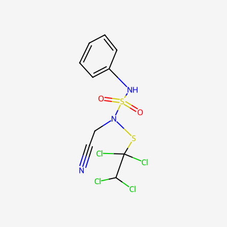 N#CCN(SC(Cl)(Cl)C(Cl)Cl)S(=O)(=O)Nc1ccccc1